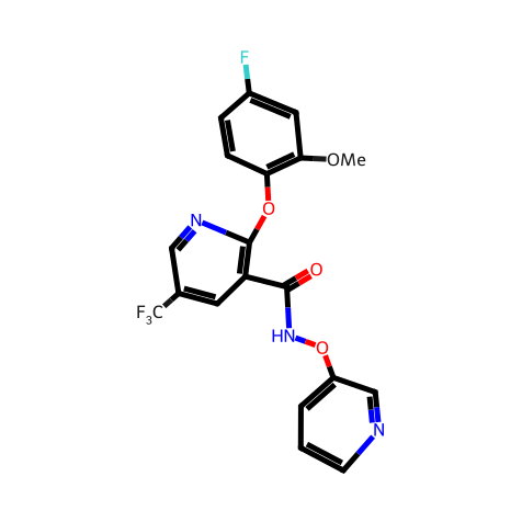 COc1cc(F)ccc1Oc1ncc(C(F)(F)F)cc1C(=O)NOc1cccnc1